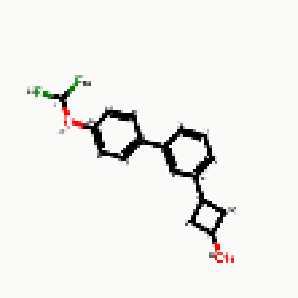 OC1CC(c2cccc(-c3ccc(OC(F)F)cc3)c2)C1